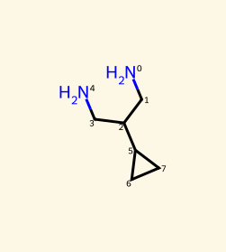 NCC(CN)C1CC1